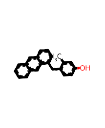 Cc1cc(O)ccc1Cc1cccc2cc3ccccc3cc12